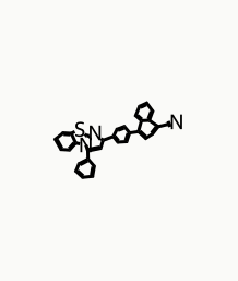 N#Cc1ccc(-c2ccc(C3C=C(c4ccccc4)N4C(=N3)Sc3ccccc34)cc2)c2ccccc12